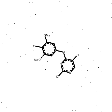 COc1cc(Nc2nc(Cl)ncc2Cl)cc(OC)c1Cl